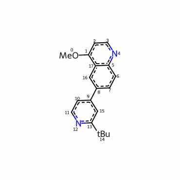 COc1ccnc2ccc(-c3ccnc(C(C)(C)C)c3)cc12